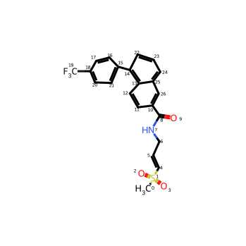 CS(=O)(=O)C=CCNC(=O)c1ccc2c(-c3ccc(C(F)(F)F)cc3)cccc2c1